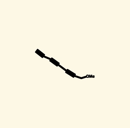 C#CC#CC#CCOC